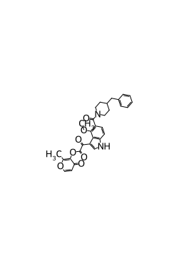 COc1c(C(=O)N2CCC(Cc3ccccc3)CC2)ccc2[nH]cc(C(=O)C(=O)Oc3c(C)occc3=O)c12